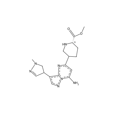 COC(=O)[C@@H]1CCC(c2cc(N)n3ncc(C4C=NN(C)C4)c3n2)CN1